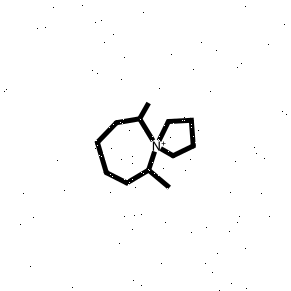 CC1CCCCC(C)[N+]12CCCC2